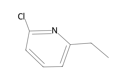 CCc1cccc(Cl)n1